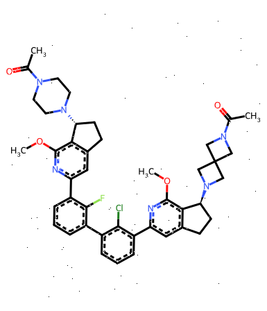 COc1nc(-c2cccc(-c3cccc(-c4cc5c(c(OC)n4)[C@@H](N4CC6(CN(C(C)=O)C6)C4)CC5)c3Cl)c2F)cc2c1[C@H](N1CCN(C(C)=O)CC1)CC2